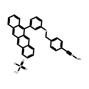 CCCC[N+]#Cc1ccc(CSc2cccc(-c3c4ccccc4cc4cc5ccccc5cc34)c2)cc1.O=S(=O)([O-])C(F)(F)F